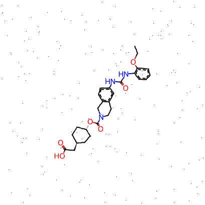 CCOc1ccccc1NC(=O)Nc1ccc2c(c1)CCN(C(=O)O[C@H]1CC[C@H](CC(=O)O)CC1)C2